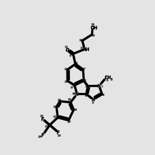 Cn1cnc2c1c1cc(C(=O)NCCO)ccc1n2-c1ccc(C(F)(F)F)cc1